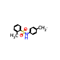 [CH2]c1ccc(NS(=O)(=O)c2ccccc2C)cc1